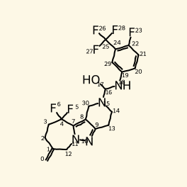 C=C1CCC(F)(F)c2c3c(nn2C1)CCN(C(O)Nc1ccc(F)c(C(F)(F)F)c1)C3